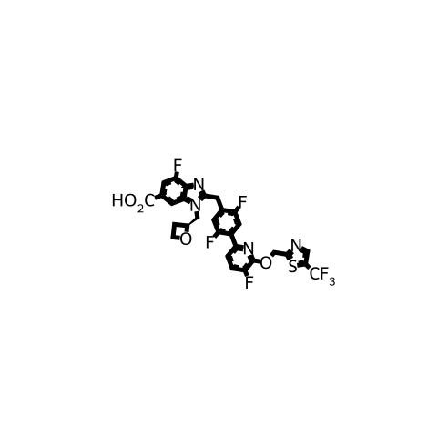 O=C(O)c1cc(F)c2nc(Cc3cc(F)c(-c4ccc(F)c(OCc5ncc(C(F)(F)F)s5)n4)cc3F)n(C[C@@H]3CCO3)c2c1